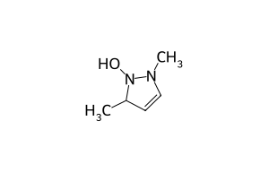 CC1C=CN(C)N1O